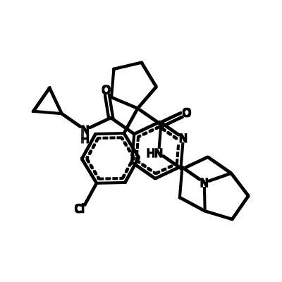 O=C(NC1CC1)c1ccc(N2C3CCC2CC(NC(=O)C2(c4ccc(Cl)cc4)CCCC2)C3)nc1